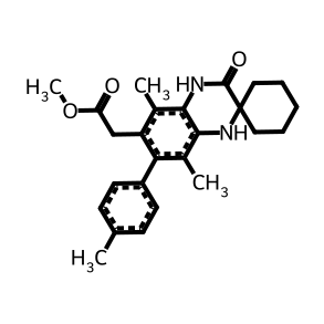 COC(=O)Cc1c(C)c2c(c(C)c1-c1ccc(C)cc1)NC1(CCCCC1)C(=O)N2